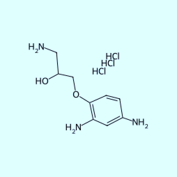 Cl.Cl.Cl.NCC(O)COc1ccc(N)cc1N